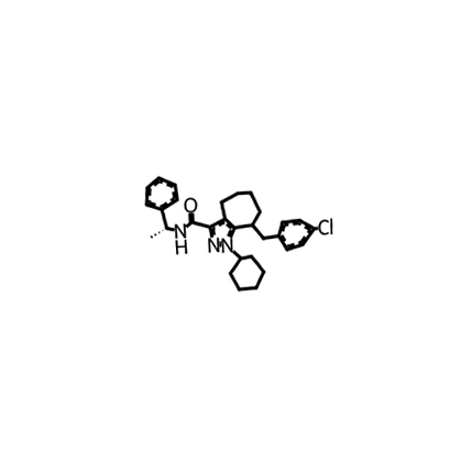 C[C@@H](NC(=O)c1nn(C2CCCCC2)c2c1CCCCC2Cc1ccc(Cl)cc1)c1ccccc1